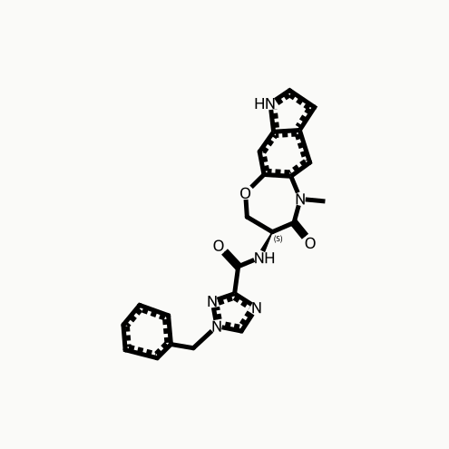 CN1C(=O)[C@@H](NC(=O)c2ncn(Cc3ccccc3)n2)COc2cc3[nH]ccc3cc21